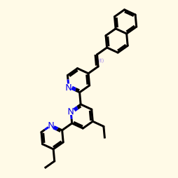 CCc1ccnc(-c2cc(CC)cc(-c3cc(/C=C/c4ccc5ccccc5c4)ccn3)n2)c1